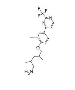 Cc1cc(-c2ccnc(C(F)(F)F)n2)ccc1OCC(C)CC(C)CN